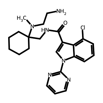 CN(CCN)C1(CNC(=O)c2cn(-c3ncccn3)c3cccc(Cl)c23)CCCCC1